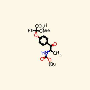 CCC(OC)(Oc1ccc(C(=O)C(C)NC(=O)OC(C)(C)C)cc1)C(=O)O